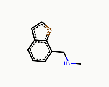 CNCc1cccc2ccsc12